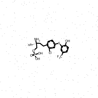 CCC[C@](N)(CCc1ccc(Sc2cc(C(F)(F)F)ccc2O)cc1Cl)COP(=O)(O)O